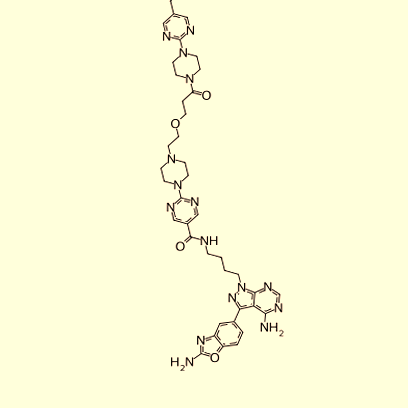 NCc1cnc(N2CCN(C(=O)CCOCCN3CCN(c4ncc(C(=O)NCCCCn5nc(-c6ccc7oc(N)nc7c6)c6c(N)ncnc65)cn4)CC3)CC2)nc1